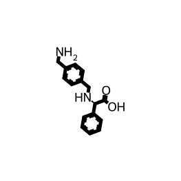 NCc1ccc(CN[C@H](C(=O)O)c2ccccc2)cc1